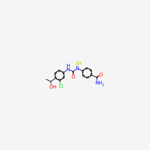 CC(O)c1ccc(NC(=O)N(S)c2ccc(C(N)=O)cc2)cc1Cl